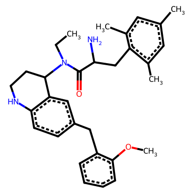 CCN(C(=O)C(N)Cc1c(C)cc(C)cc1C)C1CCNc2ccc(Cc3ccccc3OC)cc21